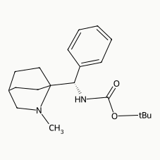 CN1CC2CCC1([C@@H](NC(=O)OC(C)(C)C)c1ccccc1)CC2